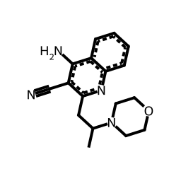 CC(Cc1nc2ccccc2c(N)c1C#N)N1CCOCC1